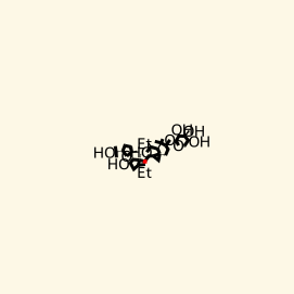 CC[C@H](O)[C@H]1C(C)(C)C(O[C@@H]2OC[C@@H](O)[C@H](O)[C@H]2O)CC[C@@]12CC2CC[C@]1(C)[C@@H]([C@@]2(C)CC[C@@H](C(C)(C)O)O2)[C@@H](O)C[C@@]1(C)CC